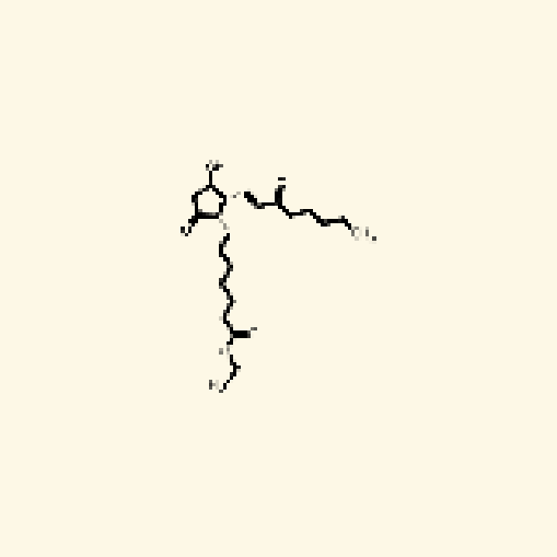 CCCCCC(=O)/C=C/[C@H]1[C@H](O)CC(=O)[C@H]1CCCCCCC(=O)OCC